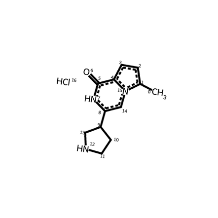 Cc1ccc2c(=O)[nH]c(C3CCNC3)cn12.Cl